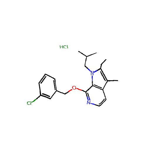 Cc1c(C)n(CC(C)C)c2c(OCc3cccc(Cl)c3)nccc12.Cl